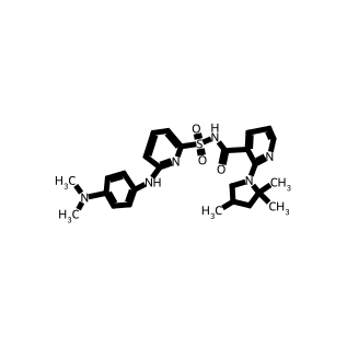 CC1CN(c2ncccc2C(=O)NS(=O)(=O)c2cccc(Nc3ccc(N(C)C)cc3)n2)C(C)(C)C1